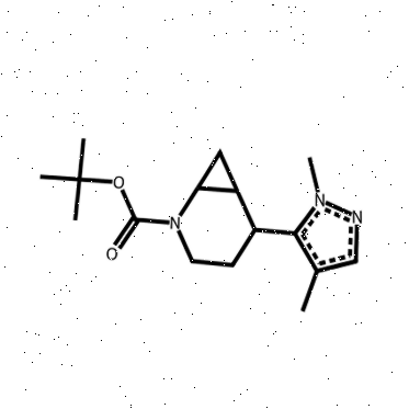 Cc1cnn(C)c1C1CCN(C(=O)OC(C)(C)C)C2CC12